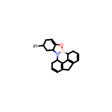 CC(C)C1CC=C2OB3C4CC=CC5=C4C4=C(C=CCC4N3C2C1)C5